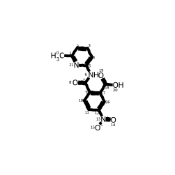 Cc1cccc(NC(=O)c2ccc([N+](=O)[O-])cc2C(=O)O)n1